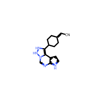 N#CC=C1CCC(C2=C3c4cc[nH]c4N=CN3NN2)CC1